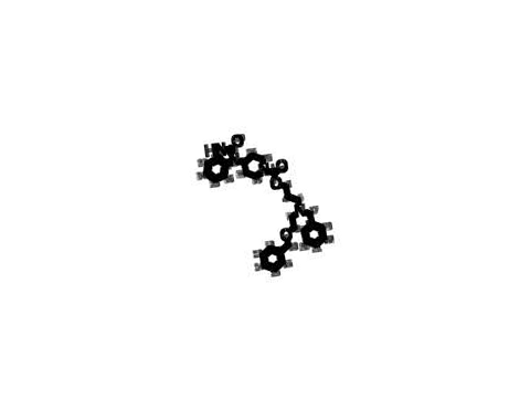 O=C(OCCCN(CCOCc1ccccc1)Cc1ccccc1)N1CCC(n2c(=O)[nH]c3ccccc32)CC1